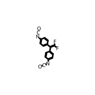 O=C=Nc1ccc(C(=C(F)F)c2ccc(N=C=O)cc2)cc1